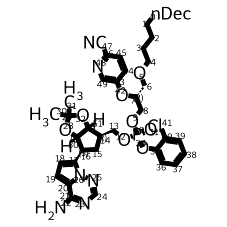 CCCCCCCCCCCCCCOC[C@H](COP(=O)(OC[C@H]1C[C@@H](c2ccc3c(N)ncnn23)[C@@H]2OC(C)(C)O[C@H]12)Oc1ccccc1Cl)Oc1ccc(C#N)nc1